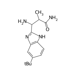 CC(C(N)=O)C(N)c1nc2cc(C(C)(C)C)ccc2[nH]1